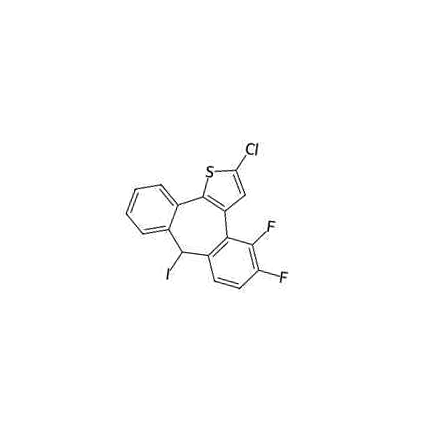 Fc1ccc2c(c1F)-c1cc(Cl)sc1-c1ccccc1C2I